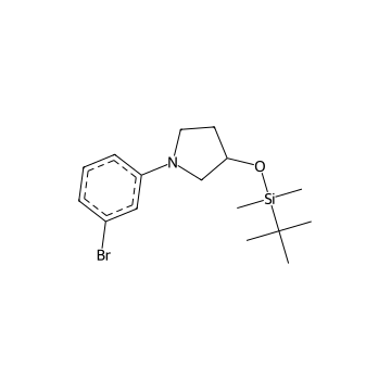 CC(C)(C)[Si](C)(C)OC1CCN(c2cccc(Br)c2)C1